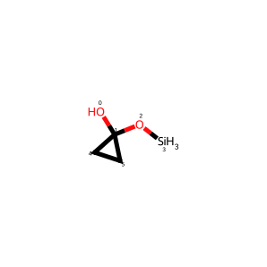 OC1(O[SiH3])CC1